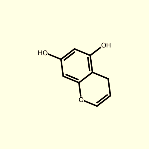 Oc1cc(O)c2c(c1)OC=CC2